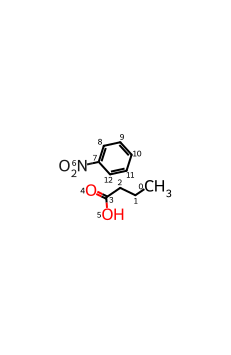 CCCC(=O)O.O=[N+]([O-])c1ccccc1